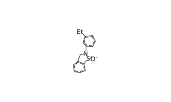 CCc1cccc(N2Cc3ccccc3[S+]2[O-])c1